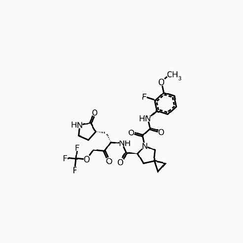 COc1cccc(NC(=O)C(=O)N2CC3(CC3)C[C@H]2C(=O)N[C@@H](C[C@@H]2CCNC2=O)C(=O)COC(F)(F)F)c1F